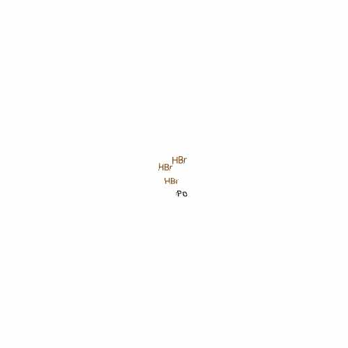 Br.Br.Br.[Po]